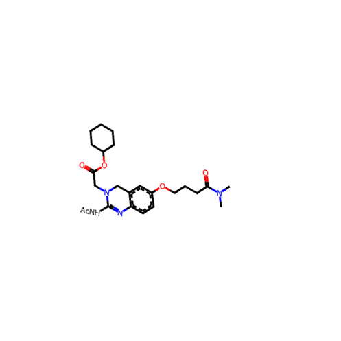 CC(=O)NC1=Nc2ccc(OCCCC(=O)N(C)C)cc2CN1CC(=O)OC1CCCCC1